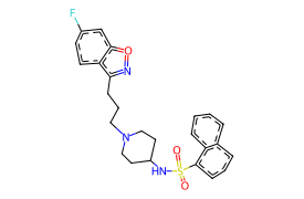 O=S(=O)(NC1CCN(CCCc2noc3cc(F)ccc23)CC1)c1cccc2ccccc12